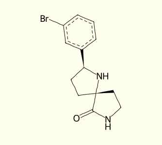 O=C1NCC[C@]12CC[C@@H](c1cccc(Br)c1)N2